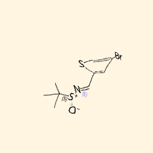 CC(C)(C)[S@@+]([O-])/N=C/c1cc(Br)cs1